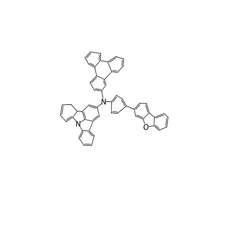 C1=CCC2C(=C1)n1c3ccccc3c3cc(N(c4ccc(-c5ccc6c(c5)oc5ccccc56)cc4)c4ccc5c6ccccc6c6ccccc6c5c4)cc2c31